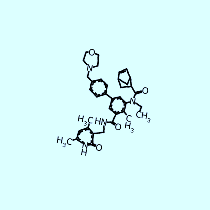 CCN(C(=O)C1CC2C=CC1C2)c1cc(-c2ccc(CN3CCOCC3)cc2)cc(C(=O)NCc2c(C)cc(C)[nH]c2=O)c1C